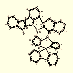 c1ccc2c(c1)-c1ccccc1C21c2ccccc2N2c3c(cccc31)B1c3c(cc4ccccc4c32)-c2cccc3c4c5ccccc5sc4n1c23